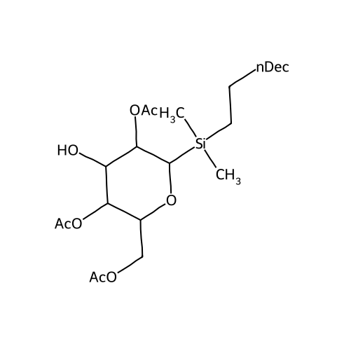 CCCCCCCCCCCC[Si](C)(C)C1OC(COC(C)=O)C(OC(C)=O)C(O)C1OC(C)=O